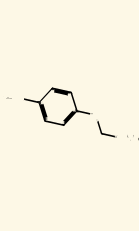 CCCC(C)c1ccc(OCOC)cc1